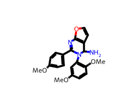 COc1ccc(C2=Nc3occc3C(N)N2c2cc(OC)ccc2OC)cc1